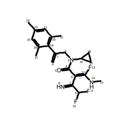 C=C(CN(C(=O)/C(C(=N)C(F)F)=C(\F)NC)C1CC1)c1c(C)cc(C)cc1C